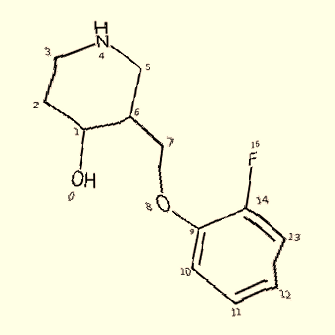 OC1CCNCC1COc1ccccc1F